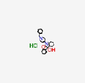 CN(C(=O)C(O)(c1ccccc1)C1CCCCC1)C1=CCN(Cc2ccccc2)CC1.Cl